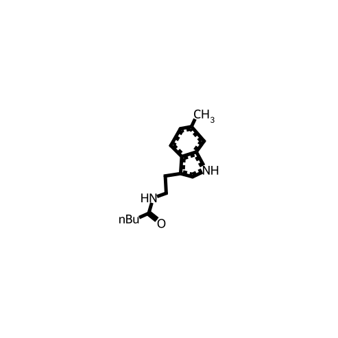 CCCCC(=O)NCCc1c[nH]c2cc(C)ccc12